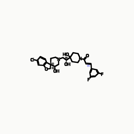 O=C(/C=C/c1cc(F)cc(F)c1)N1CCC(O)([C@H](O)CN2CC[C@]3(COc4cc(Cl)ccc43)[C@H](O)C2)CC1